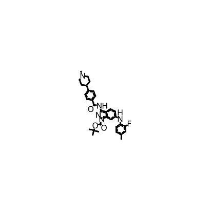 Cc1ccc(Nc2ccc3c(NC(=O)c4ccc(C5CCN(C)CC5)cc4)nn(C(=O)OC(C)(C)C)c3c2)c(F)c1